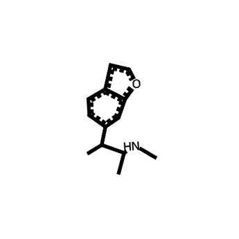 CNC(C)C(C)c1ccc2ccoc2c1